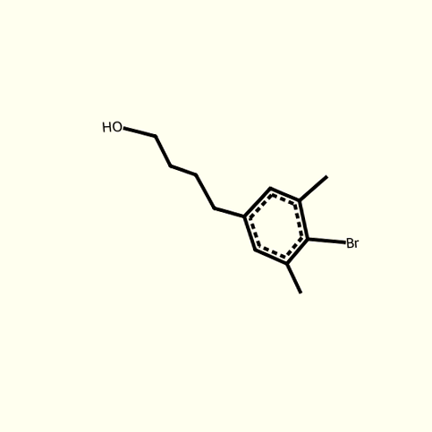 Cc1cc(CCCCO)cc(C)c1Br